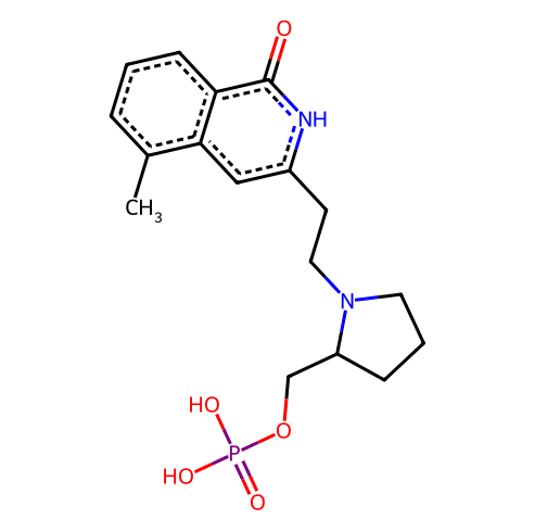 Cc1cccc2c(=O)[nH]c(CCN3CCCC3COP(=O)(O)O)cc12